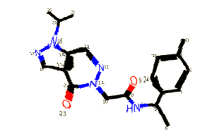 Cc1ccc(C(C)NC(=O)Cn2ncc3c(cnn3C(C)C)c2=O)cc1